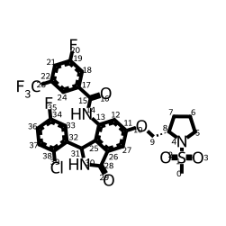 CS(=O)(=O)N1CCC[C@H]1COc1cc(NC(=O)c2cc(F)cc(C(F)(F)F)c2)c2c(c1)C(=O)NC2c1cc(F)ccc1Cl